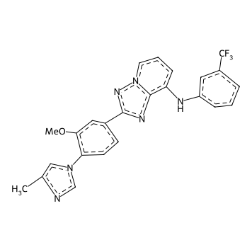 COc1cc(-c2nc3c(Nc4cccc(C(F)(F)F)c4)cccn3n2)ccc1-n1cnc(C)c1